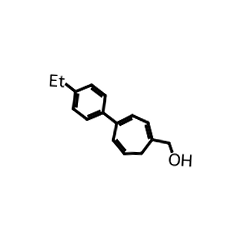 CCc1ccc(C2=CC=C(CO)CC=C2)cc1